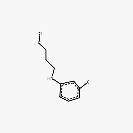 Cc1cccc(NCCCCCl)c1